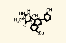 CN1C(=N)N[C@](C)(c2cncc(-c3cccc(C#N)c3)c2)[C@H](c2ccc(C(C)(C)C)cc2)C1=O